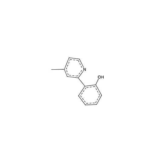 Cc1ccnc(-c2ccccc2O)c1